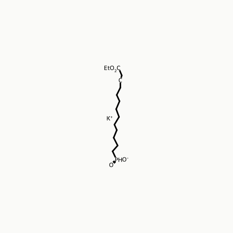 CCOC(=O)CCCCCCCCCCCC[PH](=O)[O-].[K+]